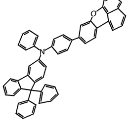 c1ccc(N(c2ccc(-c3ccc4c(c3)Oc3cccc5cccc-4c35)cc2)c2ccc3c(c2)-c2ccccc2C3(c2ccccc2)c2ccccc2)cc1